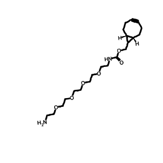 NCCOCCOCCOCCOCCNC(=O)OCC1[C@H]2CCC#CCC[C@@H]12